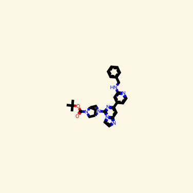 CC(C)(C)OC(=O)N1CC2CC1CN2c1nc(-c2ccnc(NCc3ccccc3)c2)cc2nccn12